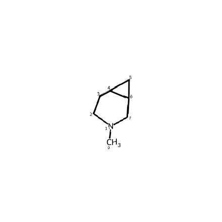 CN1CCC2CC2C1